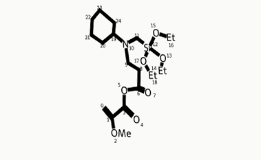 C=C(OC)C(=O)OC(=O)CCN(C[Si](OCC)(OCC)OCC)C1CCCCC1